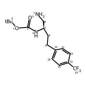 CC(C)(C)OC(=O)N[C@@H](CN)CCc1ccc(C(F)(F)F)cc1